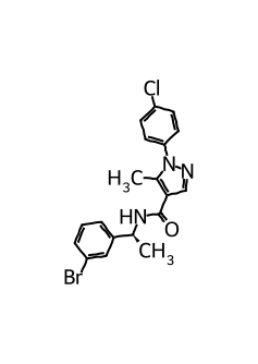 Cc1c(C(=O)N[C@@H](C)c2cccc(Br)c2)cnn1-c1ccc(Cl)cc1